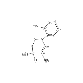 CCC1(SC)CCC(c2ccccc2F)N=C1N